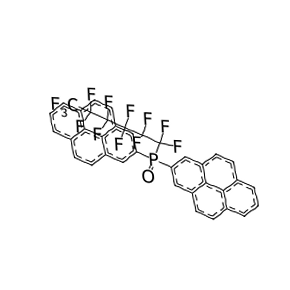 O=P(c1cc2ccc3cccc4ccc(c1)c2c34)(c1cc2ccc3cccc4ccc(c1)c2c34)C(F)(F)C(F)(F)C(F)(F)C(F)(F)C(F)(F)C(F)(F)F